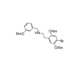 COc1cccc(CNCCc2cc(OC)c(Br)cc2OC)c1